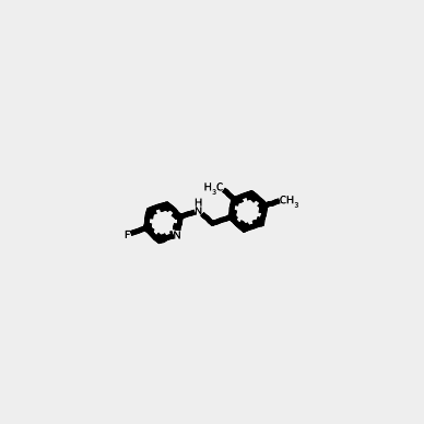 Cc1ccc(CNc2ccc(F)cn2)c(C)c1